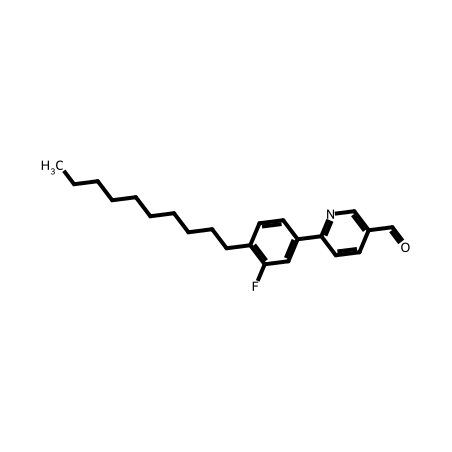 CCCCCCCCCCc1ccc(-c2ccc(C=O)cn2)cc1F